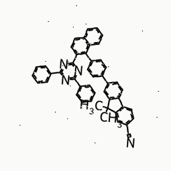 CC1(C)c2cc(C#N)ccc2-c2ccc(-c3ccc(-c4c(-c5nc(-c6ccccc6)nc(-c6ccccc6)n5)ccc5ccccc45)cc3)cc21